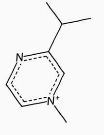 CC(C)c1c[n+](C)ccn1